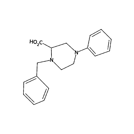 O=C(O)C1CN(c2ccccc2)CCN1Cc1ccccc1